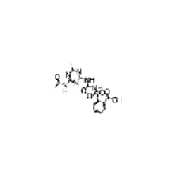 CC(=O)Nc1nc(C)nc(NC(=O)NS(=O)(=O)c2ccccc2C(=O)O)n1